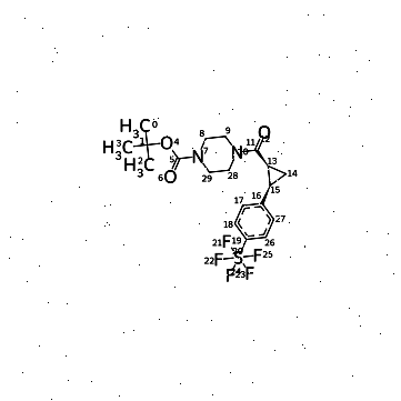 CC(C)(C)OC(=O)N1CCN(C(=O)[C@H]2C[C@H]2c2ccc(S(F)(F)(F)(F)F)cc2)CC1